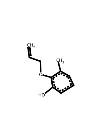 C=CCOc1c(C)cccc1O